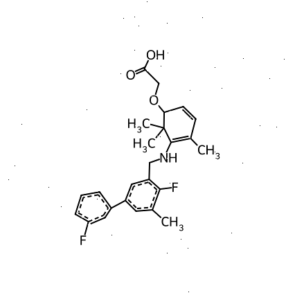 CC1=C(NCc2cc(-c3cccc(F)c3)cc(C)c2F)C(C)(C)C(OCC(=O)O)C=C1